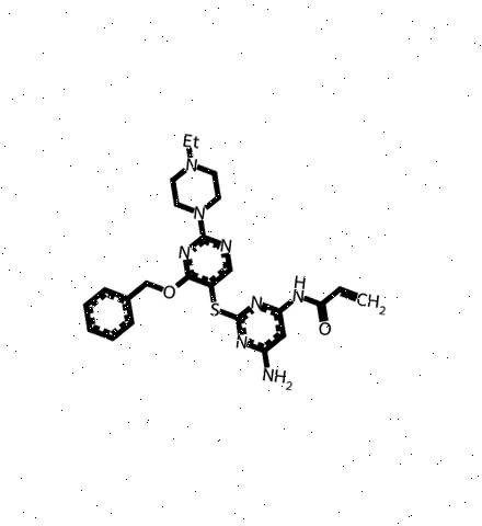 C=CC(=O)Nc1cc(N)nc(Sc2cnc(N3CCN(CC)CC3)nc2OCc2ccccc2)n1